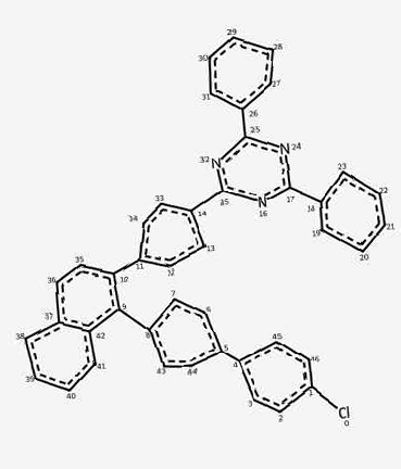 Clc1ccc(-c2ccc(-c3c(-c4ccc(-c5nc(-c6ccccc6)nc(-c6ccccc6)n5)cc4)ccc4ccccc34)cc2)cc1